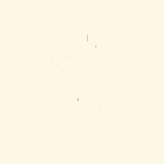 O=C1NC(=O)C(=Cc2ccnc(N3CCC(CNCc4cc5ccccc5nc4-c4ccoc4)CC3)n2)S1